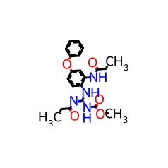 CCC(=O)N=C(NC(=O)OC)Nc1ccc(Oc2ccccc2)cc1NC(=O)CC